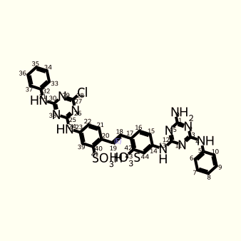 Nc1nc(Nc2ccccc2)nc(Nc2ccc(/C=C/c3ccc(Nc4nc(Cl)nc(Nc5ccccc5)n4)cc3S(=O)(=O)O)c(S(=O)(=O)O)c2)n1